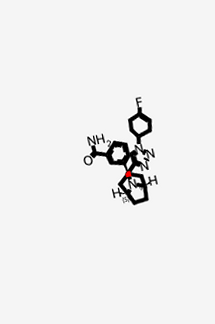 NC(=O)c1cccc([C@H]2C[C@H]3CC[C@@H](C2)N3Cc2cn(C3CC=C(F)CC3)nn2)c1